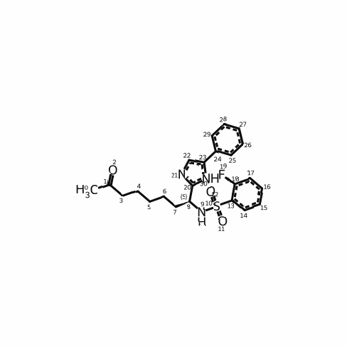 CC(=O)CCCCC[C@H](NS(=O)(=O)c1ccccc1F)c1ncc(-c2ccccc2)[nH]1